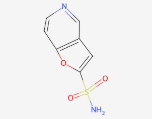 NS(=O)(=O)c1cc2cnccc2o1